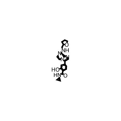 O=C(NC1CC1)c1ccc(-c2cnc3c(NCC4CCCO4)nccn23)cc1O